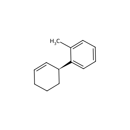 Cc1ccccc1[C@@H]1C=CCCC1